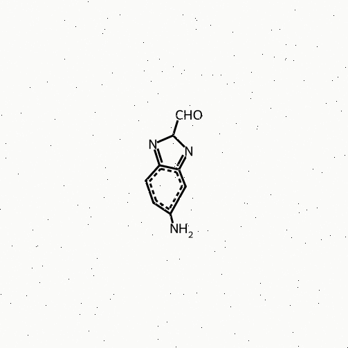 Nc1ccc2c(c1)=NC(C=O)N=2